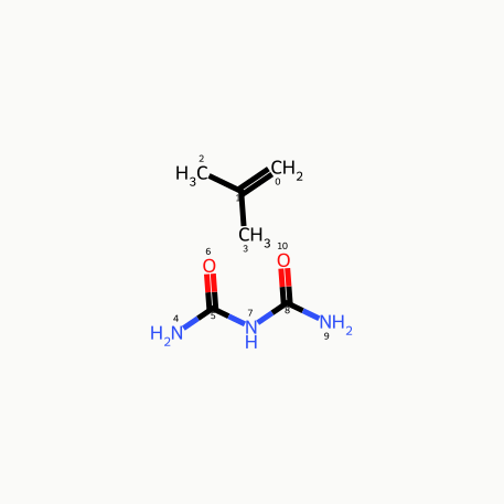 C=C(C)C.NC(=O)NC(N)=O